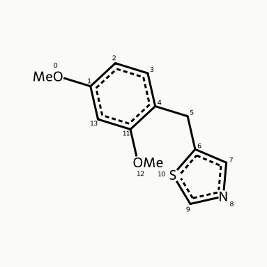 COc1ccc(Cc2cncs2)c(OC)c1